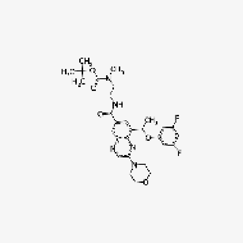 CC(Oc1cc(F)cc(F)c1)c1cc(C(=O)NCCN(C)C(=O)OC(C)(C)C)cc2ncc(N3CCOCC3)nc12